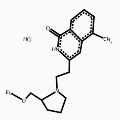 CCOCC1CCCN1CCc1cc2c(C)cccc2c(=O)[nH]1.Cl